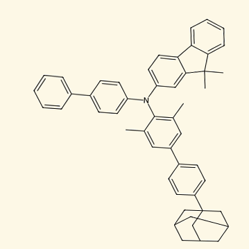 Cc1cc(-c2ccc(C34CC5CC(CC(C5)C3)C4)cc2)cc(C)c1N(c1ccc(-c2ccccc2)cc1)c1ccc2c(c1)C(C)(C)c1ccccc1-2